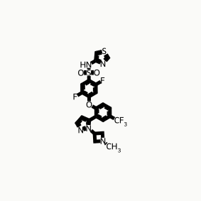 CN1CC(n2nccc2-c2cc(C(F)(F)F)ccc2Oc2cc(F)c(S(=O)(=O)Nc3cscn3)cc2F)C1